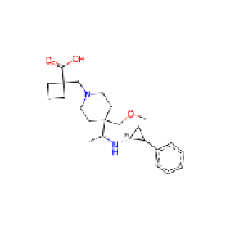 COCC1(C(C)N[C@@H]2CC2c2ccccc2)CCN(CC2(C(=O)O)CCC2)CC1